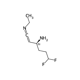 CCN=C=C[C@@H](N)CCC(F)F